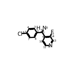 NC(c1ccc(Cl)cc1)c1ccncc1F